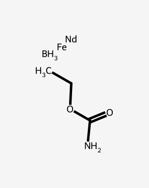 B.CCOC(N)=O.[Fe].[Nd]